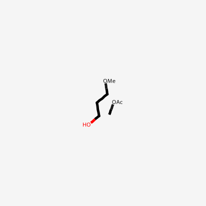 COC(C)=O.COCCCO